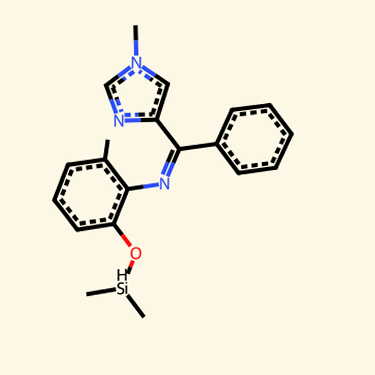 Cc1cccc(O[SiH](C)C)c1N=C(c1ccccc1)c1cn(C)cn1